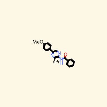 CCCc1nc(-c2ccc(OC)cc2)cnc1NC(=O)c1ccccc1